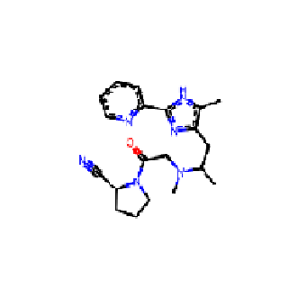 Cc1[nH]c(-c2ccccn2)nc1CC(C)N(C)CC(=O)N1CCC[C@H]1C#N